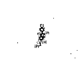 CC(C)CC(=O)Nc1ccc2c(=O)c(-c3ccc(Cl)cc3)c(C(C)C)oc2c1